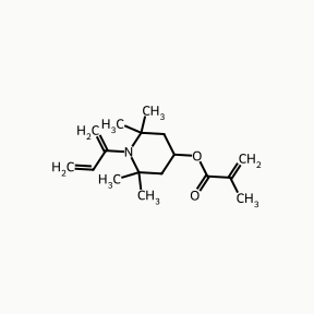 C=CC(=C)N1C(C)(C)CC(OC(=O)C(=C)C)CC1(C)C